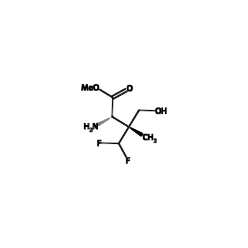 COC(=O)[C@@H](N)[C@](C)(CO)C(F)F